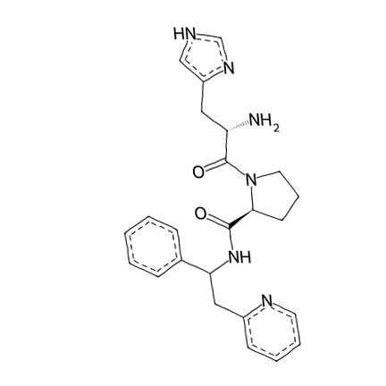 N[C@@H](Cc1c[nH]cn1)C(=O)N1CCC[C@H]1C(=O)NC(Cc1ccccn1)c1ccccc1